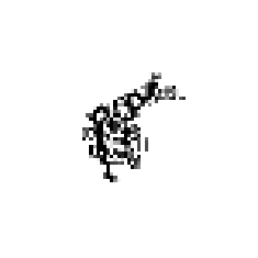 C=CCCCCOC(=O)C1CCCN(C(=O)C(Cc2cccc(O[Si](C)(C)C(C)(C)C)c2)NC(=O)C(NC(=O)OC(C)(C)C)C(C)C)N1